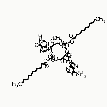 CCCCCCCCCCCC(=O)OCOP1(=O)CO[C@H]2[C@@H](F)[C@H](n3cnc4c(N)ncnc43)O[C@@H]2COP(=O)(OCOC(=O)CCCCCCCCCCC)O[C@@H](n2cnc3c(=O)[nH]cnc32)[C@H](F)[C@H](OC)CO1